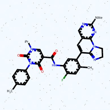 CNc1ncc2c(n1)N1CCN=C1C(c1cc(NC(=O)c3cn(C(C)C)c(=O)n(-c4ccc(C)cc4)c3=O)c(F)cc1C)=C2